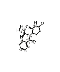 C=C1NC(=O)CCC1n1c(C)nc2ccccc2c1=O